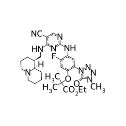 CCOC(=O)C(C)(C)Oc1cc(F)c(Nc2ncc(C#N)c(NC[C@@H]3CCCN4CCCC[C@H]34)n2)cc1-n1nnn(C)c1=O